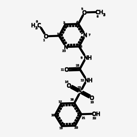 COc1cc(OC)nc(NC(=O)NS(=O)(=O)c2ccccc2O)n1